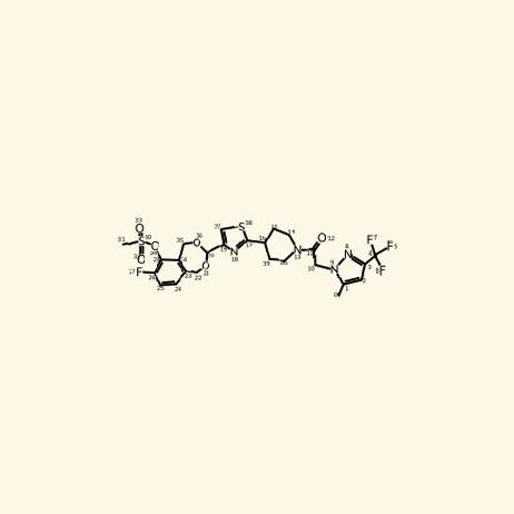 Cc1cc(C(F)(F)F)nn1CC(=O)N1CCC(c2nc(C3OCc4ccc(F)c(OS(C)(=O)=O)c4CO3)cs2)CC1